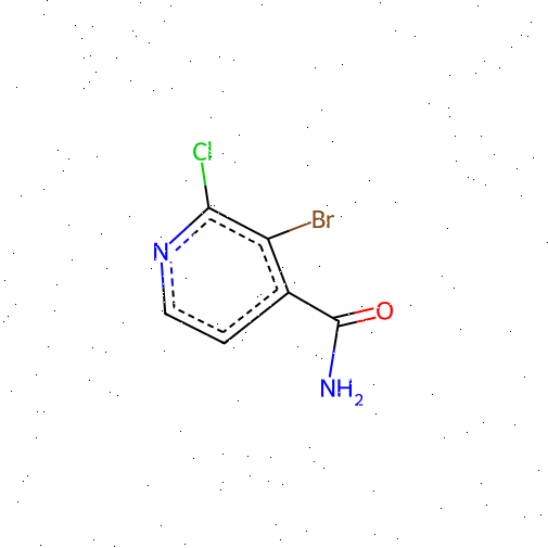 NC(=O)c1ccnc(Cl)c1Br